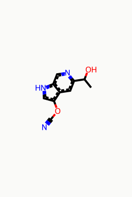 CC(O)c1cc2c(OC#N)c[nH]c2cn1